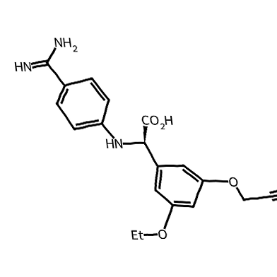 C#CCOc1cc(OCC)cc([C@@H](Nc2ccc(C(=N)N)cc2)C(=O)O)c1